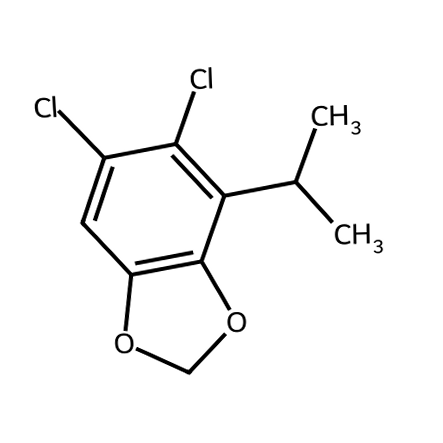 CC(C)c1c(Cl)c(Cl)cc2c1OCO2